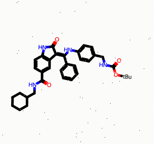 CC(C)(C)OC(=O)NCc1ccc(N/C(=C2\C(=O)Nc3ccc(C(=O)NCC4CCCCC4)cc32)c2ccccc2)cc1